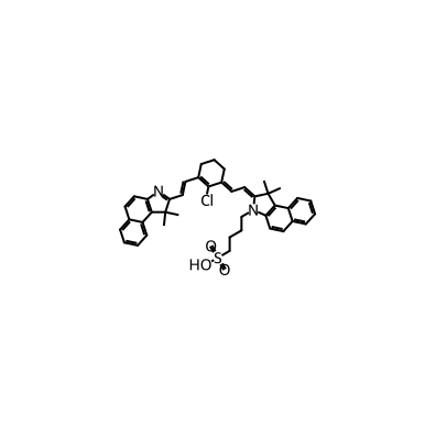 CC1(C)C(C=CC2=C(Cl)C(=CC=C3N(CCCCS(=O)(=O)O)c4ccc5ccccc5c4C3(C)C)CCC2)=Nc2ccc3ccccc3c21